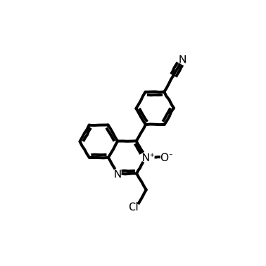 N#Cc1ccc(-c2c3ccccc3nc(CCl)[n+]2[O-])cc1